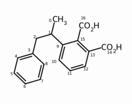 CC(Cc1ccccc1)c1cccc(C(=O)O)c1C(=O)O